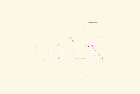 O=C1c2cccc(F)c2C(=O)N1[C@H]1CC[C@@]2(O)[C@H]3Cc4ccc(O)c5c4[C@@]2(CCN3CC2CC2)[C@H]1O5